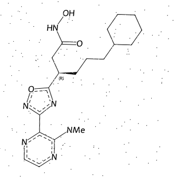 CNc1nccnc1-c1noc([C@H](CCCC2CCCCC2)CC(=O)NO)n1